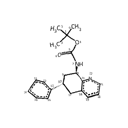 CC(C)(C)OC(=O)N[C@@H]1C[C@@H](c2ccccc2)Cc2cccnc21